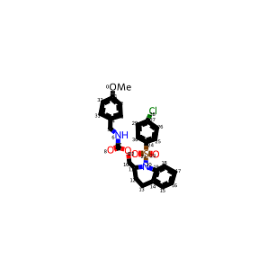 COc1ccc(CNC(=O)OCC2CCc3ccccc3N2S(=O)(=O)c2ccc(Cl)cc2)cc1